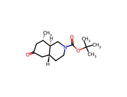 C[C@H]1CC(=O)C[C@H]2CCN(C(=O)OC(C)(C)C)C[C@@H]21